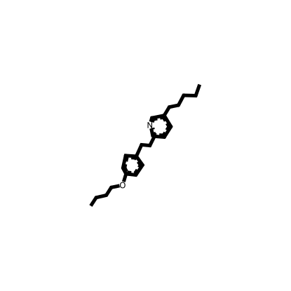 CCCCCc1ccc(CCc2ccc(OCCCC)cc2)nc1